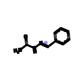 NC(=O)N/N=C/c1ccccc1